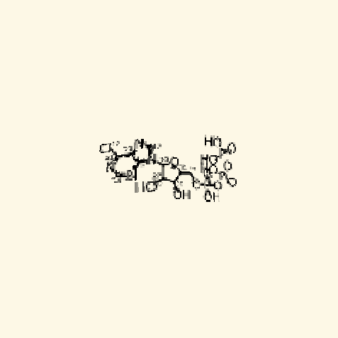 O=P(O)(O)OP(=O)(O)OP(=O)(O)OCC1OC(n2cnc3c(Cl)ncnc32)C(O)C1O